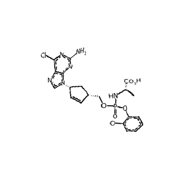 C[C@H](NP(=O)(OC[C@@H]1C=C[C@H](n2cnc3c(Cl)nc(N)nc32)C1)Oc1ccccc1Cl)C(=O)O